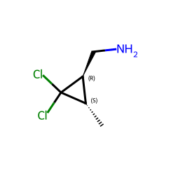 C[C@H]1[C@H](CN)C1(Cl)Cl